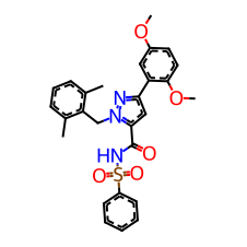 COc1ccc(OC)c(-c2cc(C(=O)NS(=O)(=O)c3ccccc3)n(Cc3c(C)cccc3C)n2)c1